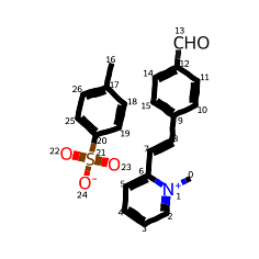 C[n+]1ccccc1/C=C/c1ccc(C=O)cc1.Cc1ccc(S(=O)(=O)[O-])cc1